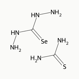 NC(N)=S.NNC(=[Se])NN